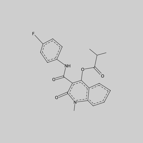 CC(C)C(=O)Oc1c(C(=O)Nc2ccc(F)cc2)c(=O)n(C)c2ccccc12